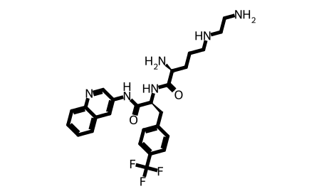 NCCNCCC[C@H](N)C(=O)N[C@@H](Cc1ccc(C(F)(F)F)cc1)C(=O)Nc1cnc2ccccc2c1